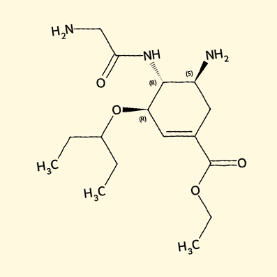 CCOC(=O)C1=C[C@@H](OC(CC)CC)[C@H](NC(=O)CN)[C@@H](N)C1